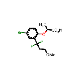 COCCC(F)(F)c1cc(Br)ccc1OC(C)C(=O)O